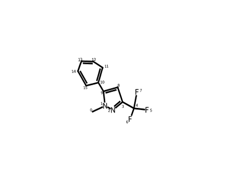 Cn1nc(C(F)(F)F)cc1-c1cc[c]cc1